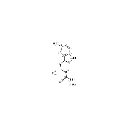 Cc1ccc2[nH]cc(C[C@@H](C)OC(=O)NC(C)(C)C)c2c1